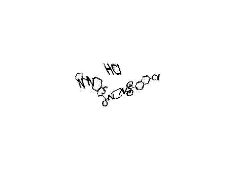 Cl.O=C(c1cc2c(s1)CCN(C1=NCCC1)C2)N1CCN(S(=O)(=O)c2ccc3cc(Cl)ccc3c2)CC1